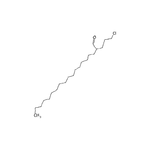 CCCCCCCCCCCCCCCCCC(C=O)CCCCl